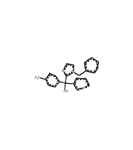 OC(c1ccccc1)(c1ccc(C(F)(F)F)cc1)c1nccn1Cc1ccccc1